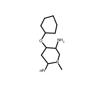 CCCC1CC(OC2CCCCC2)C(N)CN1C